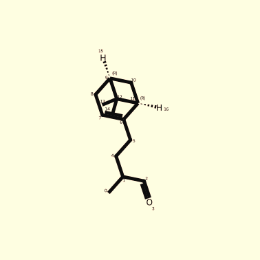 CC(C=O)CCC1=CC[C@H]2C[C@@H]1C2(C)C